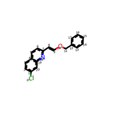 Clc1ccc2ccc(C=COCc3ccccc3)nc2c1